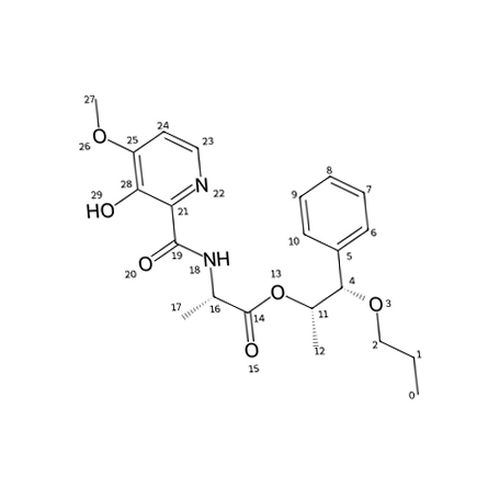 CCCO[C@@H](c1ccccc1)[C@H](C)OC(=O)[C@H](C)NC(=O)c1nccc(OC)c1O